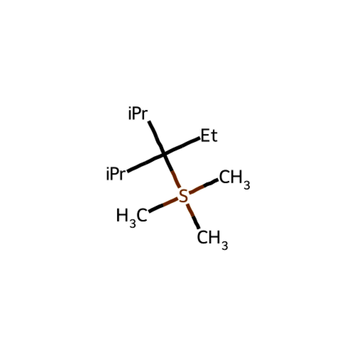 CCC(C(C)C)(C(C)C)S(C)(C)C